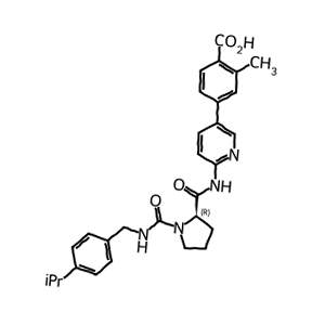 Cc1cc(-c2ccc(NC(=O)[C@H]3CCCN3C(=O)NCc3ccc(C(C)C)cc3)nc2)ccc1C(=O)O